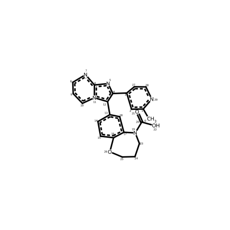 Cc1cc(-c2nc3ncccn3c2-c2ccc3c(c2)N(C(=O)O)CCCO3)ccn1